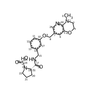 CN1CCOc2cc(COc3cccc(CNC(=O)[C@@H]4CCCN4[SH](=O)=O)c3)cnc21